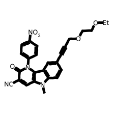 CCOCCOCC#Cc1ccc2c(c1)c1c(cc(C#N)c(=O)n1-c1ccc([N+](=O)[O-])cc1)n2C